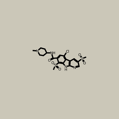 CN1CCC(NC(=O)c2cc(Cl)c3c([nH]c4ncc(S(C)(=O)=O)cc43)c2S(C)(=O)=O)CC1